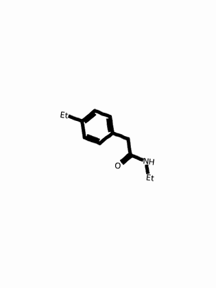 CCNC(=O)Cc1ccc(CC)cc1